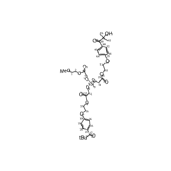 COCCOC(=O)CO[Si](C)(OCC(=O)OCCOc1ccc(C(=O)C(C)(C)C)cc1)OCC(=O)OCCOc1ccc(C(=O)C(C)(C)O)cc1